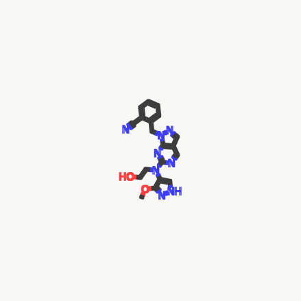 COc1n[nH]cc1N(CCO)c1ncc2cnn(Cc3ccccc3C#N)c2n1